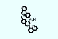 c1ccc([AsH]CCN(Cc2ccc(CNCc3ccccn3)cc2)C2CCCc3cccnc32)cc1